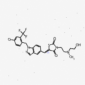 CN(CCO)CCN1C(=O)S/C(=C\c2ccc3c(cnn3Cc3ccc(Cl)cc3C(F)(F)F)c2)C1=O